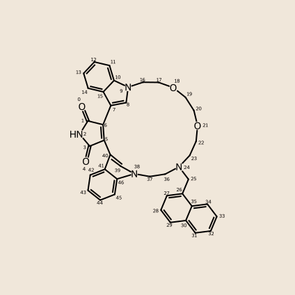 O=C1NC(=O)C2=C1c1cn(c3ccccc13)CCOCCOCCN(Cc1cccc3ccccc13)CCn1cc2c2ccccc21